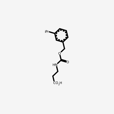 CC(C)c1cccc(COC(=O)NCCC(=O)O)c1